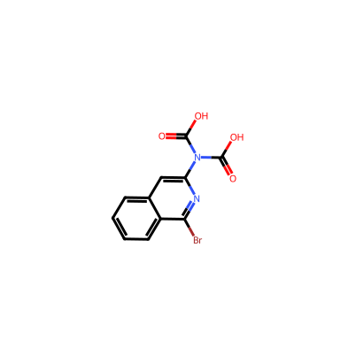 O=C(O)N(C(=O)O)c1cc2ccccc2c(Br)n1